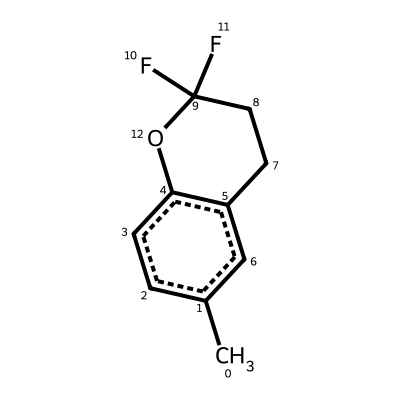 Cc1ccc2c(c1)CCC(F)(F)O2